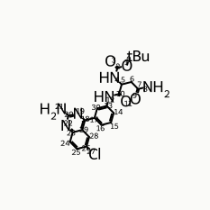 CC(C)(C)OC(=O)NC(CC(N)=O)C(=O)Nc1cccc(-c2nc(N)nc3ccc(Cl)cc23)c1